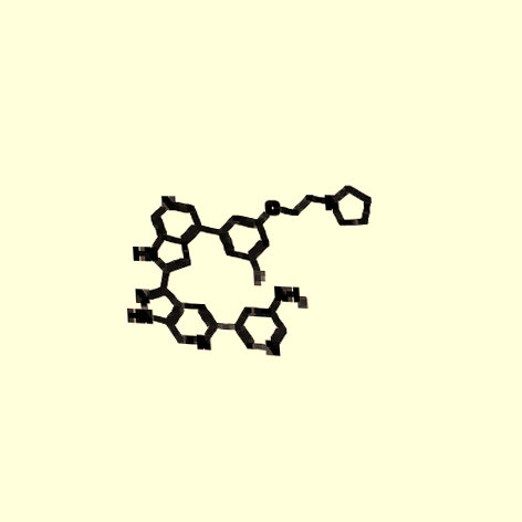 Nc1cncc(-c2cc3c(-c4cc5c(-c6cc(F)cc(OCCN7CCCC7)c6)cncc5[nH]4)n[nH]c3cn2)c1